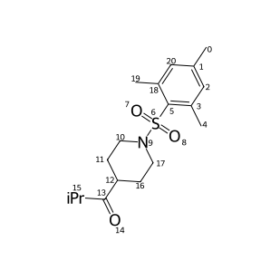 Cc1cc(C)c(S(=O)(=O)N2CCC(C(=O)C(C)C)CC2)c(C)c1